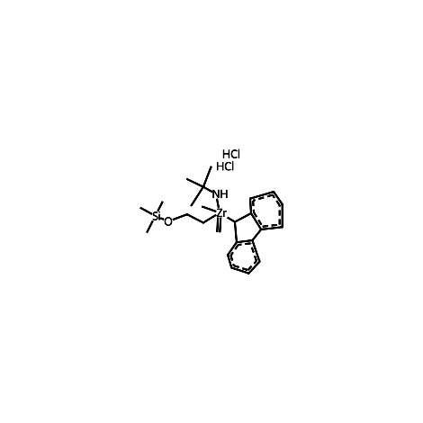 Cl.Cl.[CH2]=[Zr]([CH3])([CH2]CO[Si](C)(C)C)([NH]C(C)(C)C)[CH]1c2ccccc2-c2ccccc21